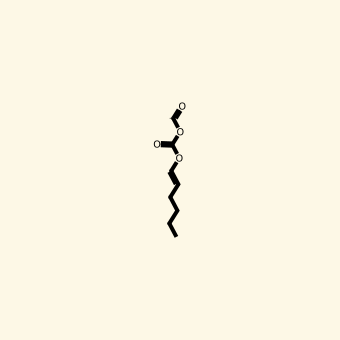 CCCCC=COC(=O)O[C]=O